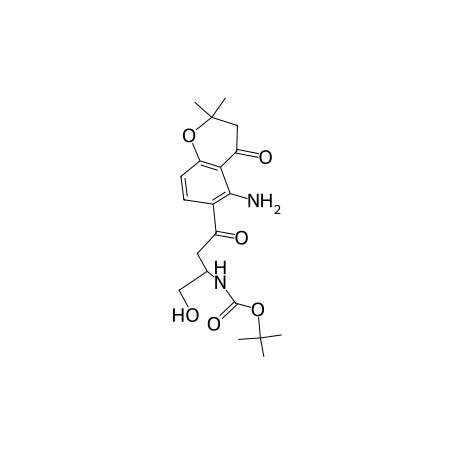 CC(C)(C)OC(=O)NC(CO)CC(=O)c1ccc2c(c1N)C(=O)CC(C)(C)O2